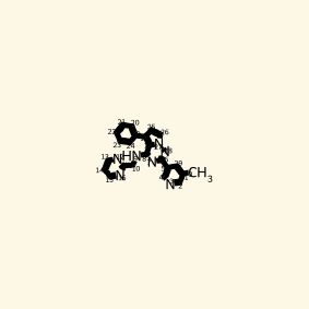 Cc1cncc(-c2nc(NCc3ncccn3)c3c(-c4ccccc4)ccn3n2)c1